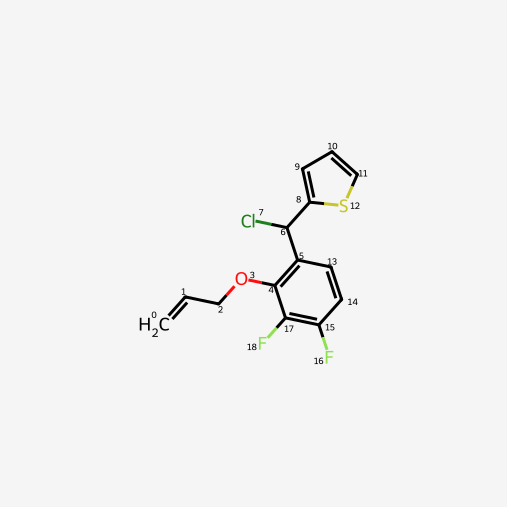 C=CCOc1c(C(Cl)c2cccs2)ccc(F)c1F